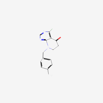 COc1ccc(CN2CCC(=O)c3c(Cl)ncnc32)cc1